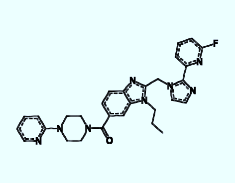 CCCn1c(Cn2ccnc2-c2cccc(F)n2)nc2ccc(C(=O)N3CCN(c4ccccn4)CC3)cc21